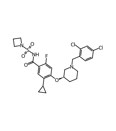 O=C(NS(=O)(=O)N1CCC1)c1cc(C2CC2)c(O[C@@H]2CCCN(Cc3ccc(Cl)cc3Cl)C2)cc1F